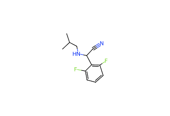 CC(C)CNC(C#N)c1c(F)cccc1F